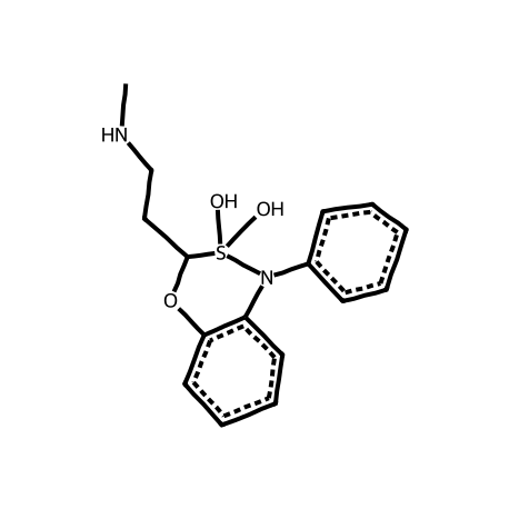 CNCCC1Oc2ccccc2N(c2ccccc2)S1(O)O